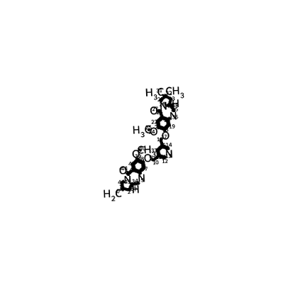 C=C1C[C@H]2C=Nc3cc(OCc4cncc(COc5cc6c(cc5OC)C(=O)N5CC(C)(C)C[C@H]5C=N6)c4)c(OC)cc3C(=O)N2C1